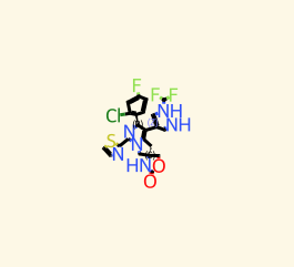 N=C/C(=C\NC(F)F)C1=C2C[C@@]3(COC(=O)N3)CN2C(c2nccs2)=N[C@H]1c1ccc(F)cc1Cl